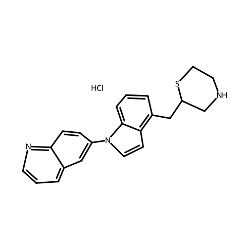 Cl.c1cnc2ccc(-n3ccc4c(CC5CNCCS5)cccc43)cc2c1